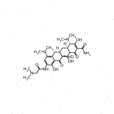 CN(C)CC(=O)Nc1cc(N(C)C)c2c(c1O)C(=O)C1=C(O)[C@]3(O)C(=O)C(C(N)=O)=C(O)[C@@H](N(C)C)[C@@H]3C[C@@H]1C2